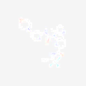 CC(NC(=O)c1ccc2c(n1)N(C(=O)Nc1cc(N3CCOCC3)ccn1)[C@H]1CCN2C1)C(F)(F)F